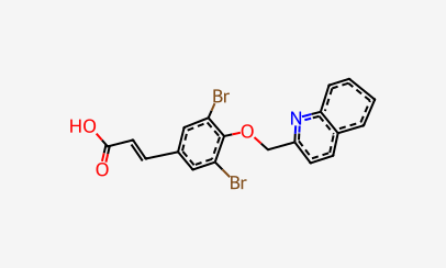 O=C(O)C=Cc1cc(Br)c(OCc2ccc3ccccc3n2)c(Br)c1